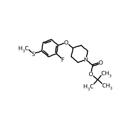 CSc1ccc(OC2CCN(C(=O)OC(C)(C)C)CC2)c(F)c1